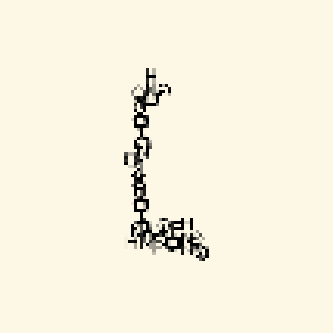 O=C1CCC(Oc2ccc(C3CCN(CC(=O)N4CC5(C4)CN(c4ccc(-c6cnc7[nH]cc(C(=O)c8c(F)ccc(NS(=O)(=O)N9CCCC9)c8F)c7c6)cc4)C5)CC3)cc2)C(=O)N1